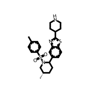 Cc1ccc(S(=O)(=O)N2C[C@@H](C)CCC2c2ccc3sc(C4CCNCC4)nc3c2)cc1